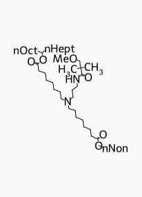 CCCCCCCCCOC(=O)CCCCCCCN(CCCCCCCC(=O)OC(CCCCCCC)CCCCCCCC)CCCNC(=O)C(C)(C)COC